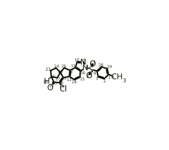 Cc1ccc(S(=O)(=O)n2ncc3c4c(ccc32)C2=C(Cl)C(=O)[C@@H]3CCC2(C4)C3)cc1